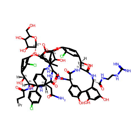 CC(C)CCC(=O)N[C@H]1C(=O)N[C@@H](CC(N)=O)C(=O)N[C@H]2C(=O)N[C@H]3C(=O)N[C@H](C(=O)N[C@H](C(=O)NCCNC(=N)N)c4cc(O)cc(O)c4-c4cc3ccc4O)[C@H](O)c3ccc(c(Cl)c3)Oc3cc2cc(c3O[C@H]2OC(CO)C(O)C(O)[C@H]2O[C@H]2CC(C)(NCc3ccc(-c4ccc(Cl)cc4)cc3)C(O)[C@H](C)O2)Oc2ccc(cc2Cl)[C@H]1O